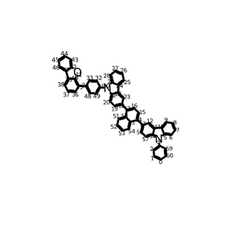 c1ccc(-n2c3ccccc3c3cc(-c4ccc(-c5ccc6c(c5)c5ccccc5n6-c5ccc(-c6cccc7c6oc6ccccc67)cc5)c5ccccc45)ccc32)cc1